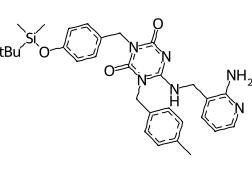 Cc1ccc(Cn2c(NCc3cccnc3N)nc(=O)n(Cc3ccc(O[Si](C)(C)C(C)(C)C)cc3)c2=O)cc1